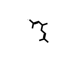 [CH2]/C(C)=C/C(C)CC=C(C)C